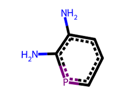 Nc1cccpc1N